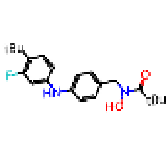 CC(C)(C)C(=O)N(O)Cc1ccc(Nc2ccc(C(C)(C)C)c(F)c2)cc1